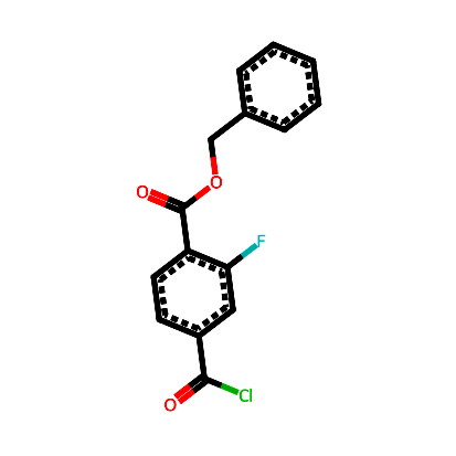 O=C(Cl)c1ccc(C(=O)OCc2ccccc2)c(F)c1